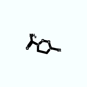 CCN1CCN(C(N)=O)OO1